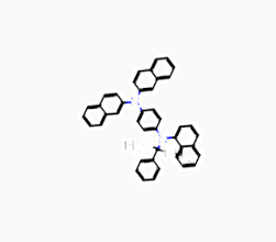 CC(C)(c1ccccc1)N(c1ccc(N(c2ccc3ccccc3c2)c2ccc3ccccc3c2)cc1)c1cccc2ccccc12